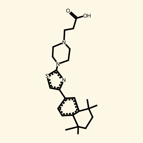 CC1(C)CCC(C)(C)c2cc(-c3csc(N4CCN(CCC(=O)O)CC4)n3)ccc21